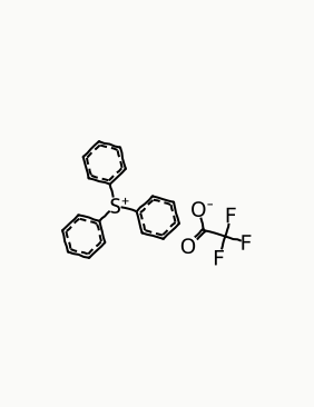 O=C([O-])C(F)(F)F.c1ccc([S+](c2ccccc2)c2ccccc2)cc1